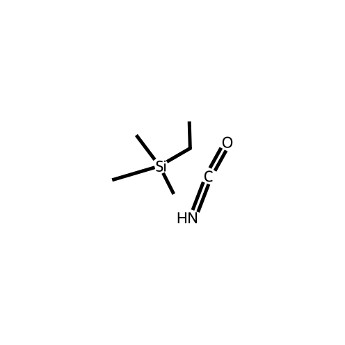 CC[Si](C)(C)C.N=C=O